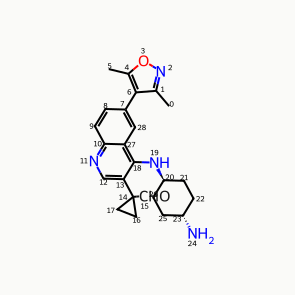 Cc1noc(C)c1-c1ccc2ncc(C3(C=O)CC3)c(N[C@H]3CC[C@H](N)CC3)c2c1